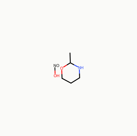 CC1NCCCO1.O=NO